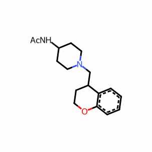 CC(=O)NC1CCN(CC2CCOc3ccccc32)CC1